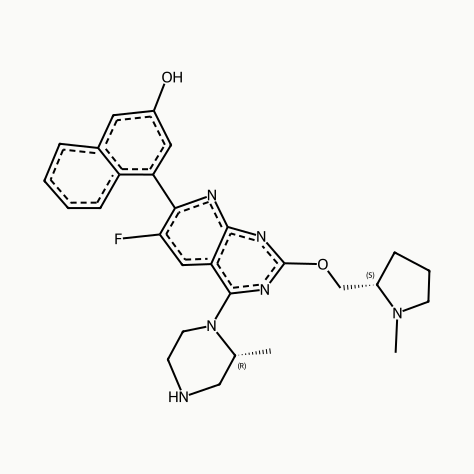 C[C@@H]1CNCCN1c1nc(OC[C@@H]2CCCN2C)nc2nc(-c3cc(O)cc4ccccc34)c(F)cc12